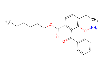 CCCCCCOC(=O)c1ccc(CC)c(ON)c1C(=O)c1ccccc1